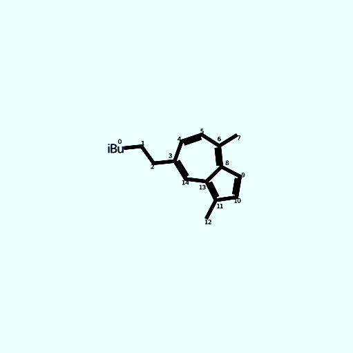 CCC(C)CCc1ccc(C)c2ccc(C)c-2c1